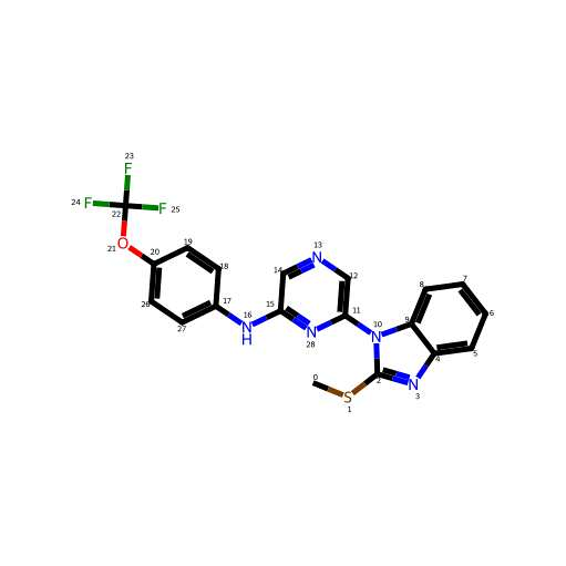 CSc1nc2ccccc2n1-c1cncc(Nc2ccc(OC(F)(F)F)cc2)n1